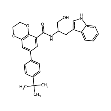 CC(C)(C)c1ccc(-c2cc3c(c(C(=O)N[C@@H](CO)Cc4c[nH]c5ccccc45)c2)OCCO3)cc1